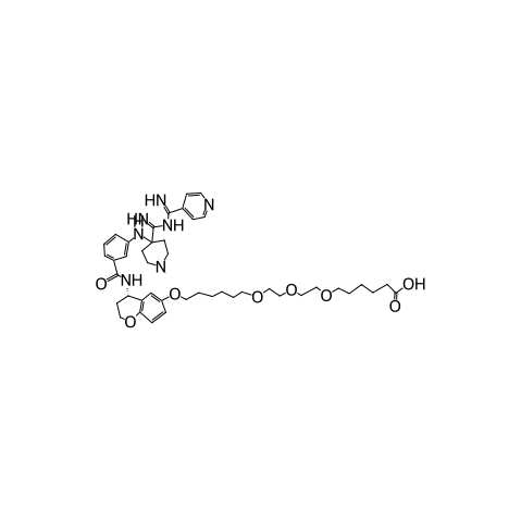 CN1CCC(Nc2cccc(C(=O)N[C@H]3CCOc4ccc(OCCCCCCOCCOCCOCCCCCC(=O)O)cc43)c2)(C(=N)NC(=N)c2ccncc2)CC1